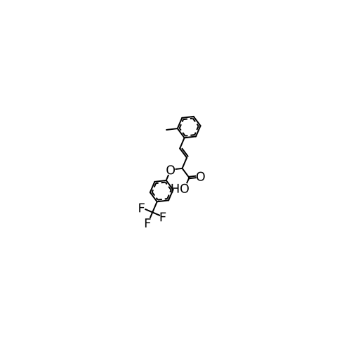 Cc1ccccc1C=CC(Oc1ccc(C(F)(F)F)cc1)C(=O)O